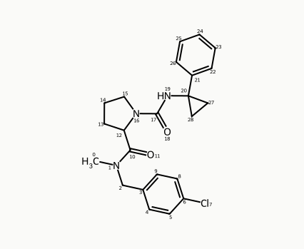 CN(Cc1ccc(Cl)cc1)C(=O)C1CCCN1C(=O)NC1(c2ccccc2)CC1